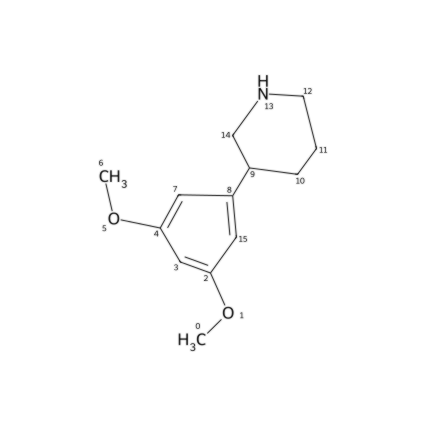 COc1cc(OC)cc(C2CCCNC2)c1